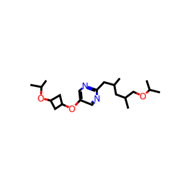 CC(COC(C)C)CC(C)Cc1ncc(OC2CC(OC(C)C)C2)cn1